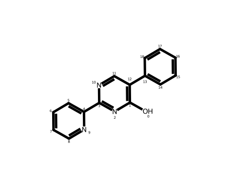 Oc1nc(-c2ccccn2)ncc1-c1ccccc1